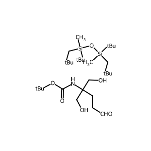 CC(C)(C)C[Si](C)(O[Si](C)(CC(C)(C)C)C(C)(C)C)C(C)(C)C.CC(C)(C)OC(=O)NC(CO)(CO)CCC=O